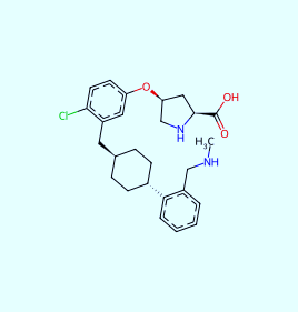 CNCc1ccccc1[C@H]1CC[C@H](Cc2cc(O[C@@H]3CN[C@H](C(=O)O)C3)ccc2Cl)CC1